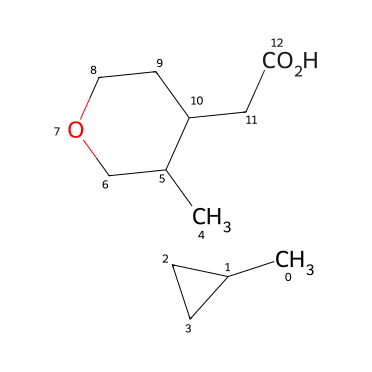 CC1CC1.CC1COCCC1CC(=O)O